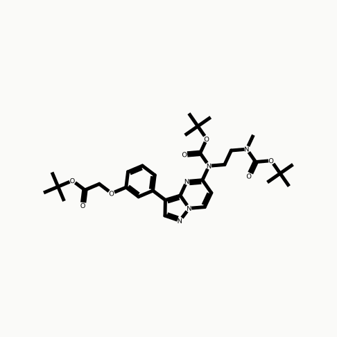 CN(CCN(C(=O)OC(C)(C)C)c1ccn2ncc(-c3cccc(OCC(=O)OC(C)(C)C)c3)c2n1)C(=O)OC(C)(C)C